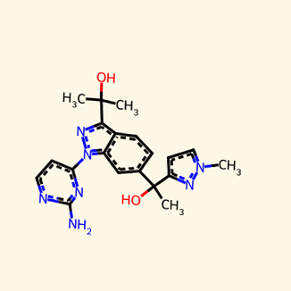 Cn1ccc(C(C)(O)c2ccc3c(C(C)(C)O)nn(-c4ccnc(N)n4)c3c2)n1